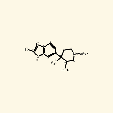 CCCCCCN1CCC(C)(c2ccc3nc(CC)oc3c2)C(C)C1